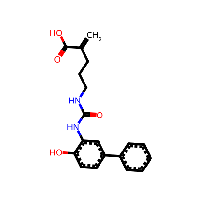 C=C(CCCNC(=O)Nc1cc(-c2ccccc2)ccc1O)C(=O)O